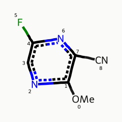 COc1ncc(F)nc1C#N